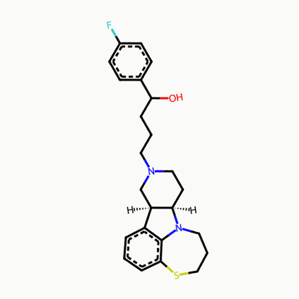 OC(CCCN1CC[C@@H]2[C@H](C1)c1cccc3c1N2CCCS3)c1ccc(F)cc1